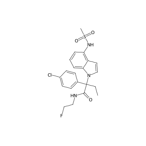 CCC(C(=O)NCCF)(c1ccc(Cl)cc1)n1ccc2c(NS(C)(=O)=O)cccc21